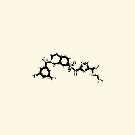 CC(C)CNC(=O)c1noc(NS(=O)(=O)c2ccc3c(c2)CN([C@H](C)c2cc(F)cc(F)c2)CC3)n1